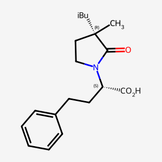 CCC(C)[C@@]1(C)CCN([C@@H](CCc2ccccc2)C(=O)O)C1=O